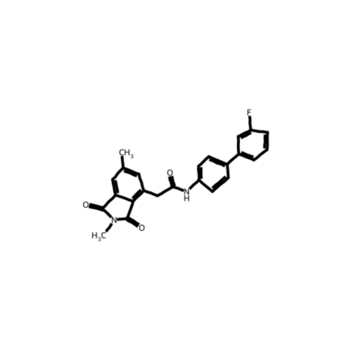 Cc1cc(CC(=O)Nc2ccc(-c3cccc(F)c3)cc2)c2c(c1)C(=O)N(C)C2=O